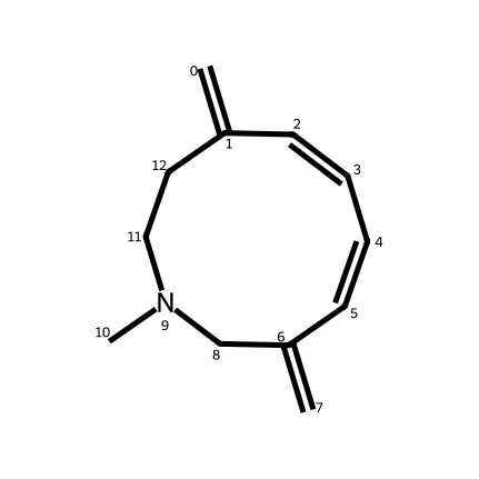 C=C1/C=C\C=C/C(=C)CN(C)CC1